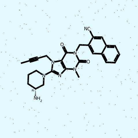 CC#CCn1c(N2CCC[C@@H](N)C2)nc2c1c(=O)n(Cc1cc3ccccc3cc1C#N)c(=O)n2C